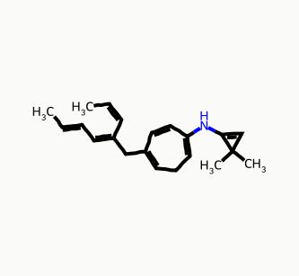 C\C=C/C(=C\C=C\C)CC1=CCC=C(NC2=CC2(C)C)C=C1